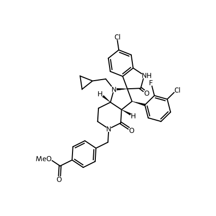 COC(=O)c1ccc(CN2CC[C@H]3[C@@H](C2=O)[C@H](c2cccc(Cl)c2F)[C@]2(C(=O)Nc4cc(Cl)ccc42)N3CC2CC2)cc1